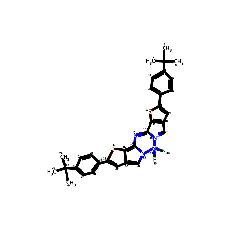 CC(C)(C)c1ccc(-c2cc3c(s2)C2=Nc4c5sc(-c6ccc(C(C)(C)C)cc6)cc5cn4[N+](F)(F)[N+]2=C3)cc1